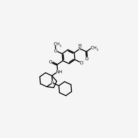 COc1cc(NC(C)=O)c(Cl)cc1C(=O)NC12CCCC(CC1)N2C1CCCCC1